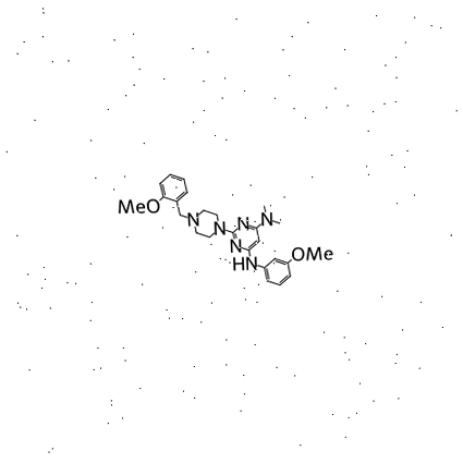 COc1cccc(Nc2cc(N(C)C)nc(N3CCN(Cc4ccccc4OC)CC3)n2)c1